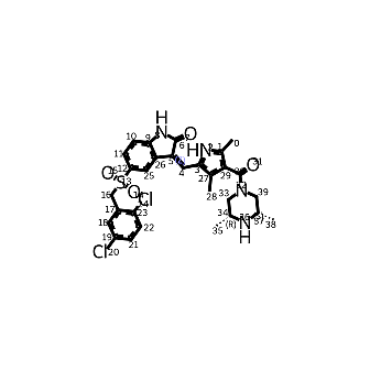 Cc1[nH]c(/C=C2\C(=O)Nc3ccc(S(=O)(=O)Cc4cc(Cl)ccc4Cl)cc32)c(C)c1C(=O)N1C[C@@H](C)N[C@@H](C)C1